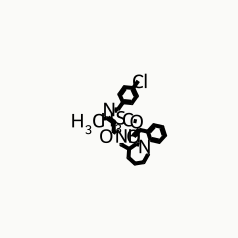 COC(=O)c1ccccc1N1CCCCC(CNC(=O)c2sc(-c3ccc(Cl)cc3)nc2C)C1